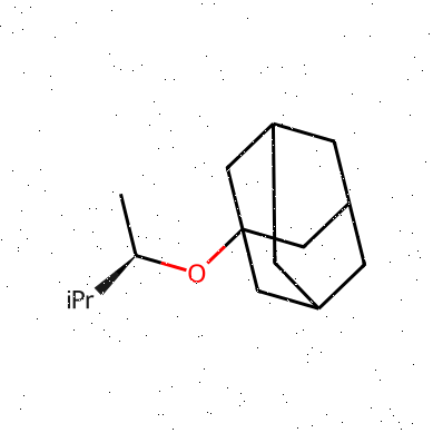 CC(C)[C@@H](C)OC12CC3CC(CC(C3)C1)C2